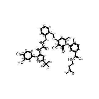 Cc1ccc(C(=O)NCCN(C)C)cc1-n1c(C)cc(OCc2ccccc2CNC(=O)Nc2cc(C(C)(C)C)nn2-c2ccc(Cl)c(O)c2)c(Cl)c1=O